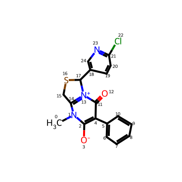 Cn1c([O-])c(-c2ccccc2)c(=O)[n+]2c1CSC2c1ccc(Cl)nc1